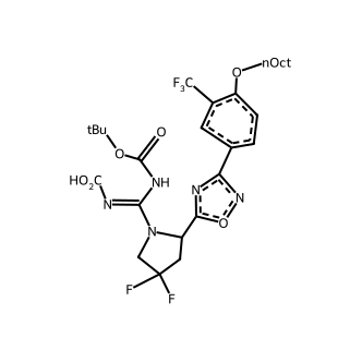 CCCCCCCCOc1ccc(-c2noc(C3CC(F)(F)CN3C(=NC(=O)O)NC(=O)OC(C)(C)C)n2)cc1C(F)(F)F